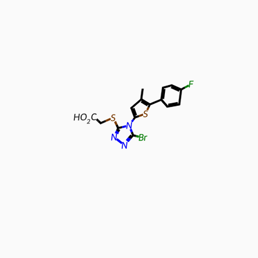 Cc1cc(-n2c(Br)nnc2SCC(=O)O)sc1-c1ccc(F)cc1